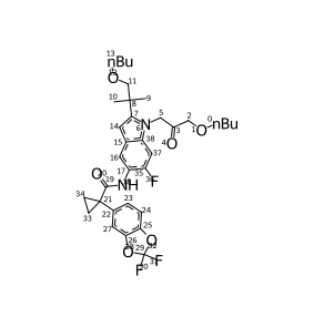 CCCCOCC(=O)Cn1c(C(C)(C)COCCCC)cc2cc(NC(=O)C3(c4ccc5c(c4)OC(F)(F)O5)CC3)c(F)cc21